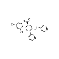 O=[N+]([O-])[C@H]1CC(COc2ccncc2)=C(c2cccnc2)C[C@@H]1c1ccc(Cl)cc1Cl